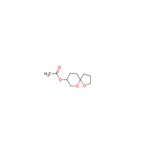 CC(=O)OC1CCC2(CCCO2)OC1